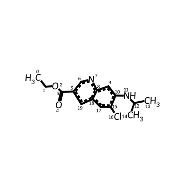 CCOC(=O)c1cnc2cc(NC(C)C)c(Cl)cc2c1